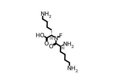 NCCCC[C@H](N)C(=O)N(F)[C@@H](CCCCN)C(=O)O